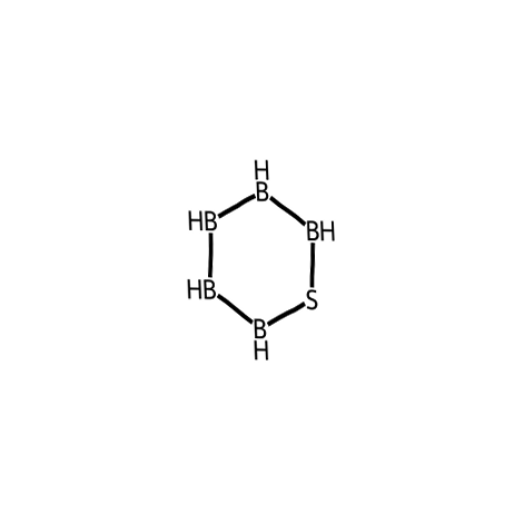 B1BBSBB1